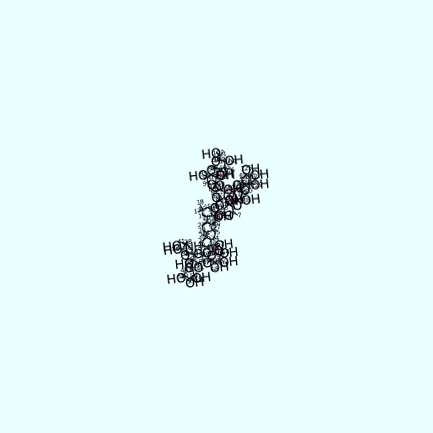 CC1OC(OC2C(C)OC(OC(=O)[C@]34CCC(C)(C)CC3C3=CCC5[C@@]6(C)CC[C@H](OC7OC(C(=O)NC(C)(CO)CO)C(O)C(OC8OCC(O)C(O)C8O)C7OC7OC(CO)C(O)C(O)C7O)[C@@](C)(C=O)C6CC[C@@]5(C)[C@]3(C)C[C@H]4O)C(OC3OC(C)C(OC4OCC(O)C(OC5OC(CO)C(O)C(C)C5O)C4O)C(O)C3O)C2O)C(O)C(OC2CCC(O)C(O)C2O)C1O